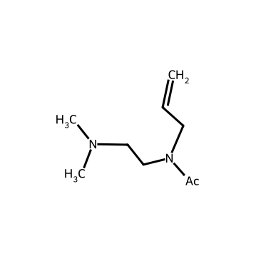 C=CCN(CCN(C)C)C(C)=O